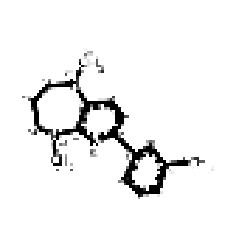 Cc1cccc(-c2ccc3c(n2)N(C)CCCN3C)c1